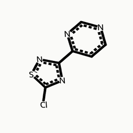 Clc1nc(-c2ccncn2)ns1